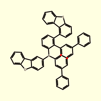 c1ccc(-c2cccc(-c3c(-c4cccc5sc6ccccc6c45)cccc3N(c3cccc(-c4ccccc4)c3)c3ccc4oc5ccccc5c4c3)c2)cc1